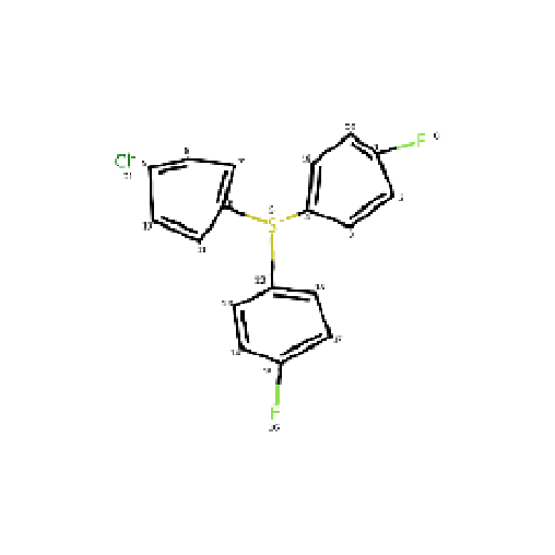 Fc1ccc([S+](c2ccccc2)c2ccc(F)cc2)cc1.[Cl-]